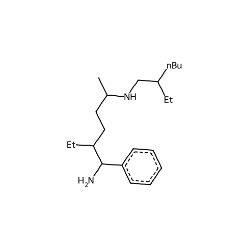 CCCCC(CC)CNC(C)CCC(CC)C(N)c1ccccc1